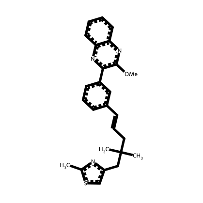 COc1nc2ccccc2nc1-c1cccc(/C=C/CC(C)(C)Cc2csc(C)n2)c1